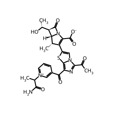 CC(=O)c1nc(C(=O)c2ccc[n+](C(C)C(N)=O)c2)c2sc(C3=C(C(=O)[O-])N4C(=O)[C@H]([C@@H](C)O)[C@H]4[C@H]3C)cn12